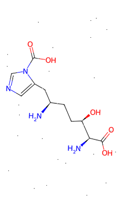 N[C@H](CC[C@@H](O)[C@H](N)C(=O)O)Cc1cncn1C(=O)O